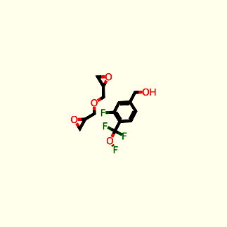 C(OCC1CO1)C1CO1.OCc1ccc(C(F)(F)OF)c(F)c1